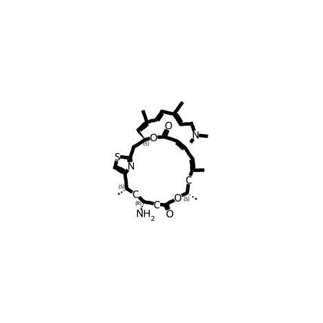 CC(C=CC(C)=C[C@@H]1Cc2nc(cs2)[C@@H](C)C[C@@H](N)CC(=O)O[C@@H](C)CC(C)=CC=CC(=O)O1)=CCN(C)C